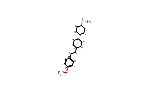 CCCCCC[C@H]1CC[C@H](C2CCC(CCc3ccc(OC(F)(F)F)cc3)CC2)CC1